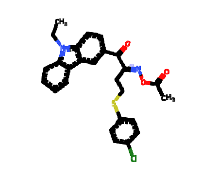 CCn1c2ccccc2c2cc(C(=O)/C(CCSc3ccc(Cl)cc3)=N/OC(C)=O)ccc21